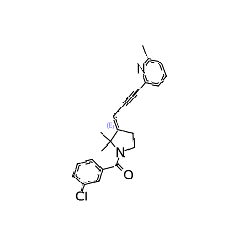 Cc1cccc(C#C/C=C2\CCN(C(=O)c3cccc(Cl)c3)C2(C)C)n1